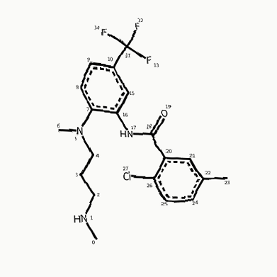 CNCCCN(C)c1ccc(C(F)(F)F)cc1NC(=O)c1cc(C)ccc1Cl